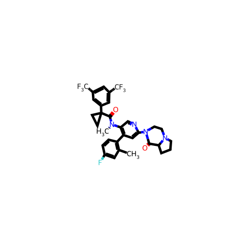 Cc1cc(F)ccc1-c1cc(N2CCN3CCCC3C2=O)ncc1N(C)C(=O)C1(c2cc(C(F)(F)F)cc(C(F)(F)F)c2)CC1